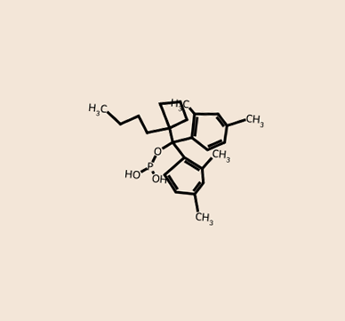 CCCCC1(C(OP(O)O)(c2ccc(C)cc2C)c2ccc(C)cc2C)CCC1